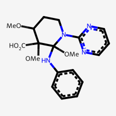 COC1CCN(c2ncccn2)C(Nc2ccccc2)(OC)C1(OC)C(=O)O